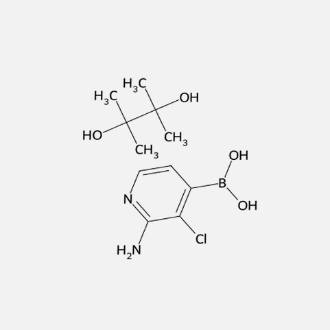 CC(C)(O)C(C)(C)O.Nc1nccc(B(O)O)c1Cl